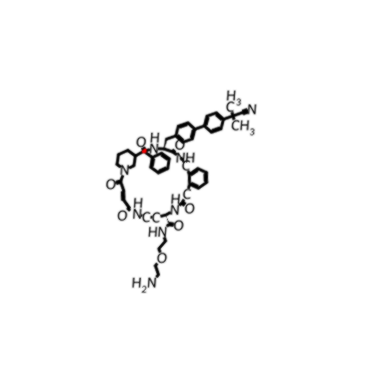 CC(C)(C#N)c1ccc(-c2ccc(C[C@@H]3NC(=O)[C@]4(Cc5ccccc5)CCCN(C4)C(=O)/C=C/C(=O)NCC[C@@H](C(=O)NCCOCCN)NC(=O)Cc4ccccc4CNC3=O)cc2)cc1